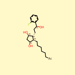 CC(=O)CCCCCC[C@@H]1[C@@H](CC[C@H](O)c2ccccc2F)[C@H](O)C[C@@H]1O